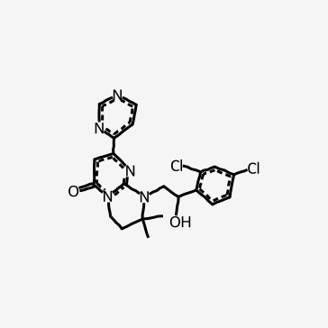 CC1(C)CCn2c(nc(-c3ccncn3)cc2=O)N1CC(O)c1ccc(Cl)cc1Cl